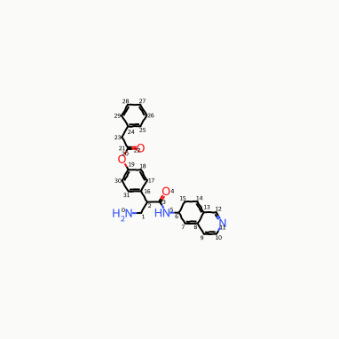 NCC(C(=O)NC1C=c2ccncc2=CC1)c1ccc(OC(=O)Cc2ccccc2)cc1